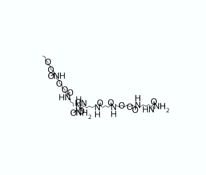 CCCOCCOCC(=O)NCCOCCOCC(=O)NCCCC[C@H](NC(=O)[C@H](CCCCNC(=O)CCCC(=O)NCCOCCOCC(=O)NCCCC[C@H](NC)C(N)=O)NC)C(N)=O